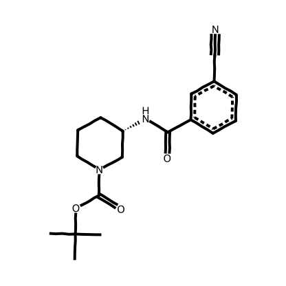 CC(C)(C)OC(=O)N1CCC[C@H](NC(=O)c2cccc(C#N)c2)C1